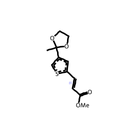 COC(=O)/C=C/c1cc(C2(C)OCCO2)cs1